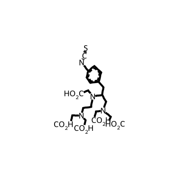 O=C(O)CN(CCN(CC(=O)O)C(Cc1ccc(N=C=S)cc1)CN(CC(=O)O)CC(=O)O)CC(=O)O